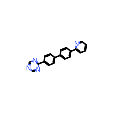 c1ccc(-c2ccc(-c3ccc(-c4ncncn4)cc3)cc2)nc1